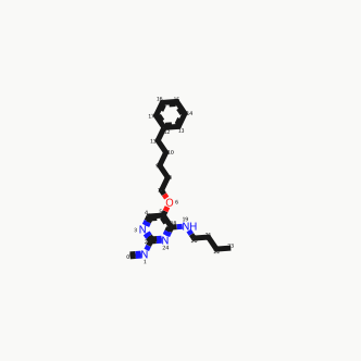 C=Nc1ncc(OCCCCCc2ccccc2)c(NCCCC)n1